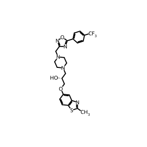 Cc1nc2cc(OC[C@H](O)CN3CCN(Cc4noc(-c5ccc(C(F)(F)F)cc5)n4)CC3)ccc2s1